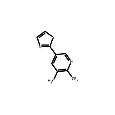 Cc1cc(-c2nccs2)cnc1C(F)(F)F